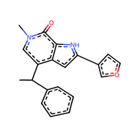 CC(c1ccccc1)c1cn(C)c(=O)c2[nH]c(-c3ccoc3)cc12